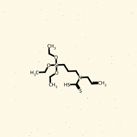 C=CCN(CCC[Si](OCC)(OCC)OCC)C(=S)S